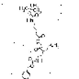 CCCC(CCNC(=O)OCc1ccccc1)C(=O)COC(=O)CCCCNC(=O)OC(C)(C)C